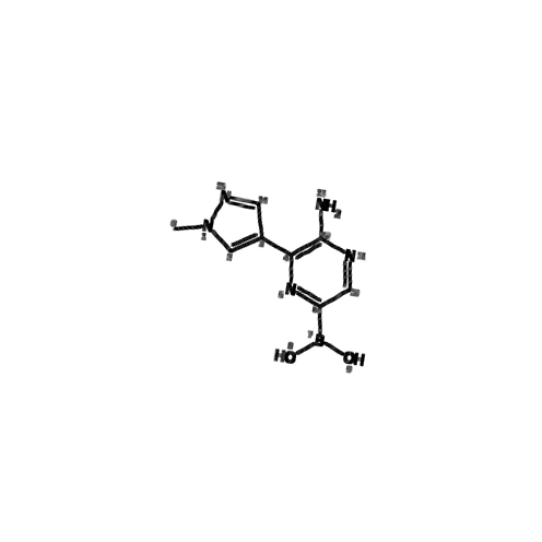 Cn1cc(-c2nc(B(O)O)cnc2N)cn1